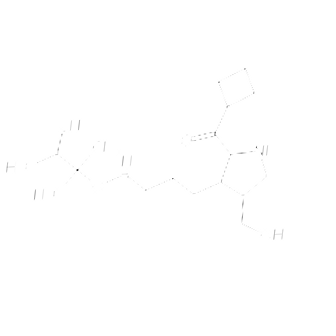 CC(C)C(C)(C)OBCCCC1C(CO)CNC1C(=O)C1CCC1